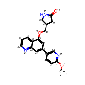 COc1ccc(-c2cc(OC[C@H]3CNC(=O)C3)c3cccnc3c2)cn1